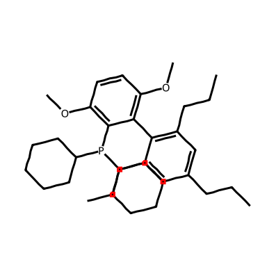 CCCc1cc(CCC)c(-c2c(OC)ccc(OC)c2P(C2CCCCC2)C2CCCCC2)c(CCC)c1